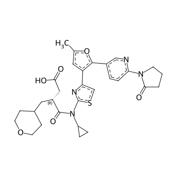 Cc1cc(-c2csc(N(C(=O)[C@@H](CC(=O)O)CC3CCOCC3)C3CC3)n2)c(-c2ccc(N3CCCC3=O)nc2)o1